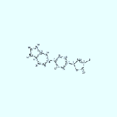 CC1=NC(c2ccc(-c3ccc4scnc4c3)cc2)CS1